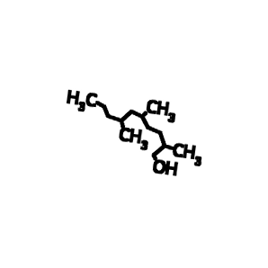 CCCC(C)CC(C)CCC(C)CO